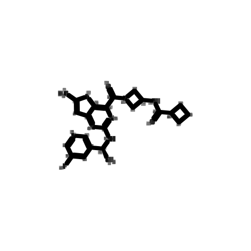 Cc1cc2nc(N[C@@H](C)c3cncc(F)c3)nc(C(=O)N3CC(NC(=O)C4CCC4)C3)c2s1